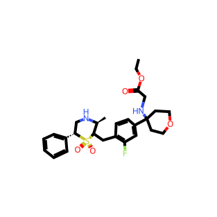 CCOC(=O)CNC1(c2ccc(CC3[C@H](C)NC[C@@H](c4ccccc4)S3(=O)=O)c(F)c2)CCOCC1